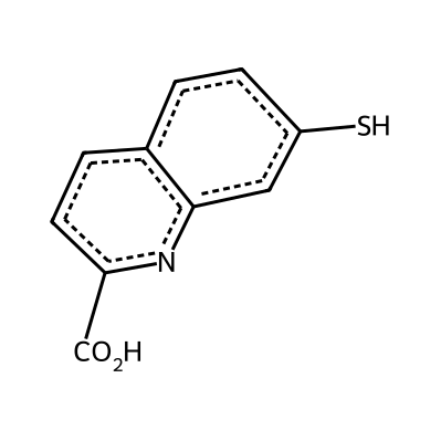 O=C(O)c1ccc2ccc(S)cc2n1